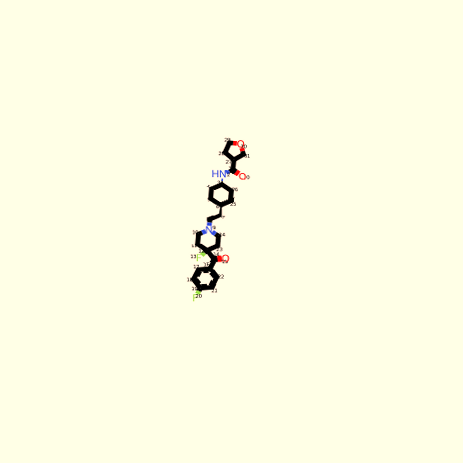 O=C(N[C@H]1CC[C@H](CCN2CCC(F)(C(=O)c3ccc(F)cc3)CC2)CC1)C1CCOC1